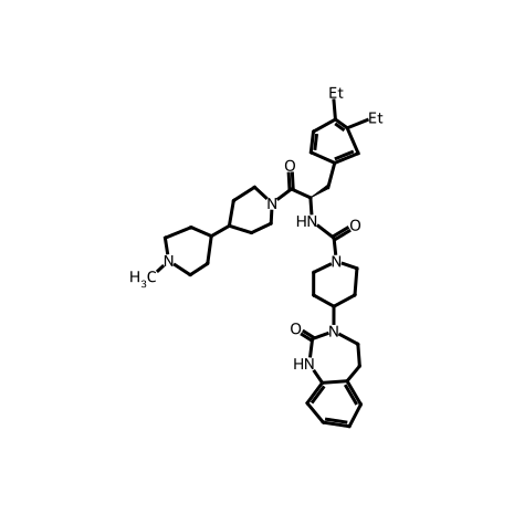 CCc1ccc(C[C@@H](NC(=O)N2CCC(N3CCc4ccccc4NC3=O)CC2)C(=O)N2CCC(C3CCN(C)CC3)CC2)cc1CC